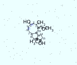 C=C1/C=C(O)\C=C/CC2CC[C@@]3(C)C(CC[C@@H]3O)C2C[C@@H]1COC